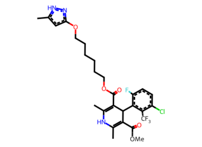 COC(=O)C1=C(C)NC(C)=C(C(=O)OCCCCCCOc2cc(C)[nH]n2)C1c1c(F)ccc(Cl)c1C(F)(F)F